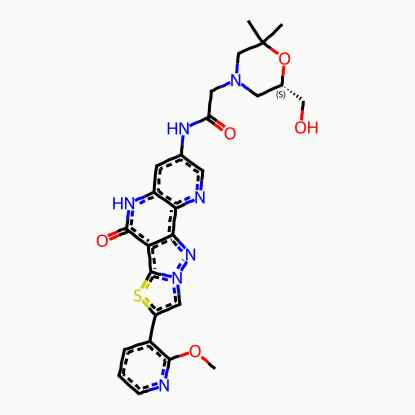 COc1ncccc1-c1cn2nc3c4ncc(NC(=O)CN5C[C@@H](CO)OC(C)(C)C5)cc4[nH]c(=O)c3c2s1